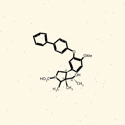 COc1ccc([C@@H]2CN(C(=O)O)C(C)[C@@]2(C)[C@@H](C)O)cc1Oc1ccc(-c2ccccc2)cc1